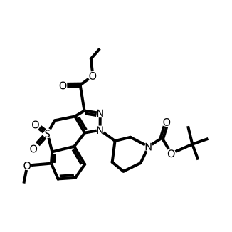 CCOC(=O)c1nn(C2CCCN(C(=O)OC(C)(C)C)C2)c2c1CS(=O)(=O)c1c(OC)cccc1-2